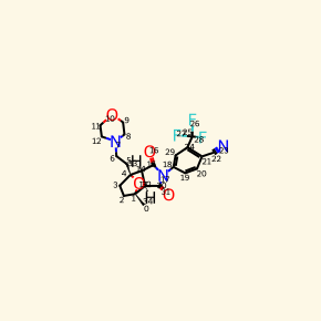 C[C@@]12CC[C@@](CCN3CCOCC3)(O1)[C@H]1C(=O)N(c3ccc(C#N)c(C(F)(F)F)c3)C(=O)[C@H]12